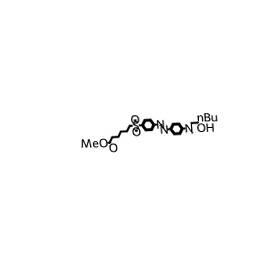 CCCCC(O)CN(C)c1ccc(N=Nc2ccc(S(=O)(=O)CCCCCC(=O)OC)cc2)cc1